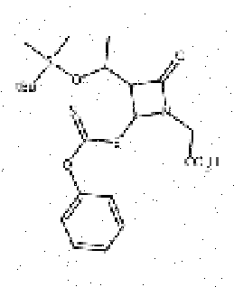 CC(O[Si](C)(C)C(C)(C)C)C1C(=O)N(CC(=O)O)C1SC(=S)Oc1ccccc1